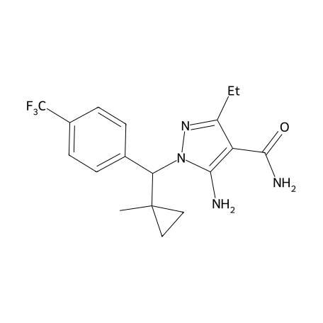 CCc1nn(C(c2ccc(C(F)(F)F)cc2)C2(C)CC2)c(N)c1C(N)=O